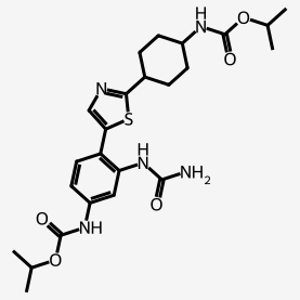 CC(C)OC(=O)Nc1ccc(-c2cnc(C3CCC(NC(=O)OC(C)C)CC3)s2)c(NC(N)=O)c1